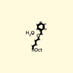 CCCCCCCCCCCCOCc1ccccc1.O